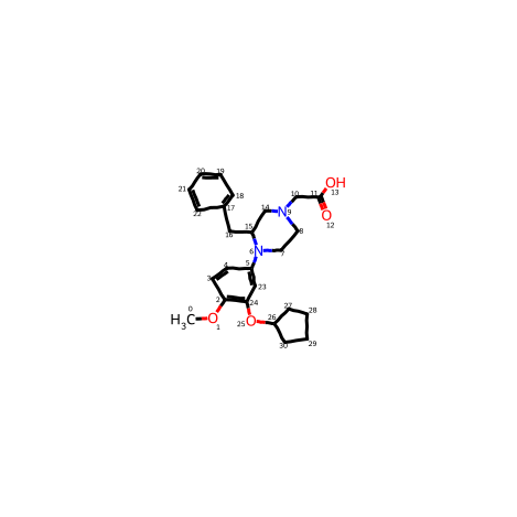 COc1ccc(N2CCN(CC(=O)O)CC2Cc2ccccc2)cc1OC1CCCC1